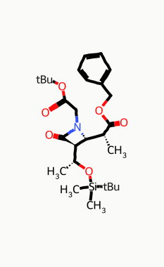 C[C@@H](O[Si](C)(C)C(C)(C)C)[C@H]1C(=O)N(CC(=O)OC(C)(C)C)[C@@H]1[C@@H](C)C(=O)OCc1ccccc1